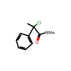 CNC(=O)C(C)(Cl)c1ccccc1